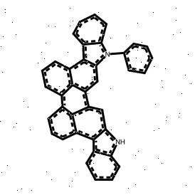 c1ccc(-n2c3ccccc3c3c4cccc5c6cccc7c8c(cc(c(cc32)c54)c67)[nH]c2ccccc28)cc1